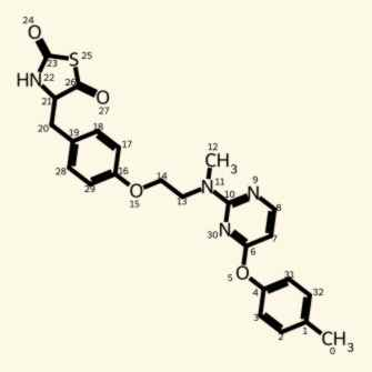 Cc1ccc(Oc2ccnc(N(C)CCOc3ccc(CC4NC(=O)SC4=O)cc3)n2)cc1